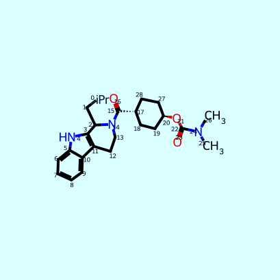 CC(C)CC1c2[nH]c3ccccc3c2CCN1C(=O)[C@H]1CC[C@H](OC(=O)N(C)C)CC1